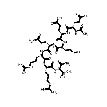 CSCC[C@H](NC(=O)[C@H](CCC(=O)O)NC(=O)[C@H](CCC(=O)O)NC(C)=O)C(=O)N[C@@H](CCC(N)=O)C(=O)N[C@@H](CCCNC(=N)N)C(=O)N[C@@H](CCCNC(=N)N)C(=O)N[C@H](C(N)=O)[C@@H](C)O